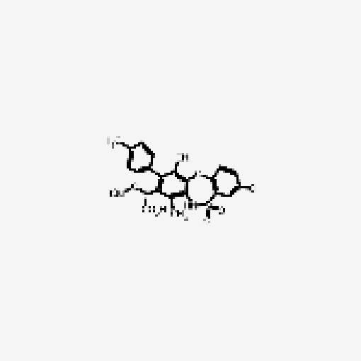 Cc1ccc(-c2c(C)c3c(c(C)c2[C@H](OC(C)(C)C)C(=O)O)NS(=O)(=O)c2cc(Cl)ccc2O3)cc1